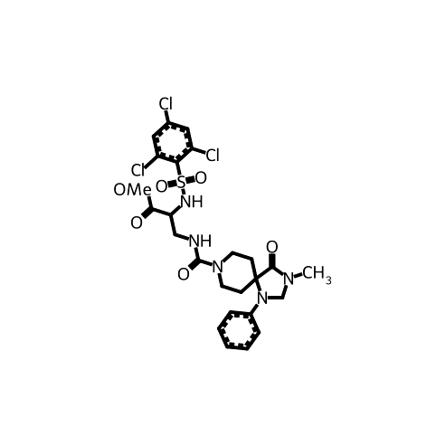 COC(=O)C(CNC(=O)N1CCC2(CC1)C(=O)N(C)CN2c1ccccc1)NS(=O)(=O)c1c(Cl)cc(Cl)cc1Cl